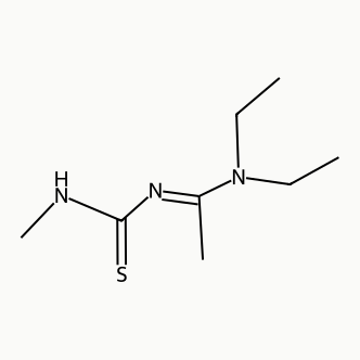 CCN(CC)/C(C)=N/C(=S)NC